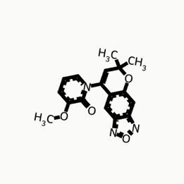 COc1cccn(C2=CC(C)(C)Oc3cc4nonc4cc32)c1=O